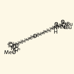 COc1cccc2c1nc1c([n+]2CCCCCCCCCCCCOCCCCCCCCCCCCNC(=O)CCC(NC(C)(C)C)C(=O)C(C)(C)C)=CCCC=1